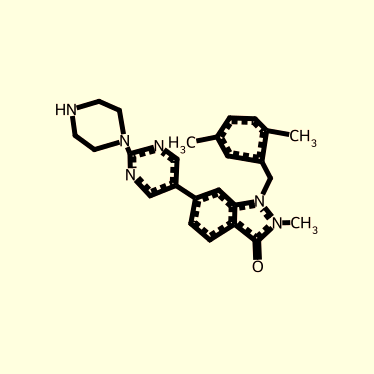 Cc1ccc(C)c(Cn2c3cc(-c4cnc(N5CCNCC5)nc4)ccc3c(=O)n2C)c1